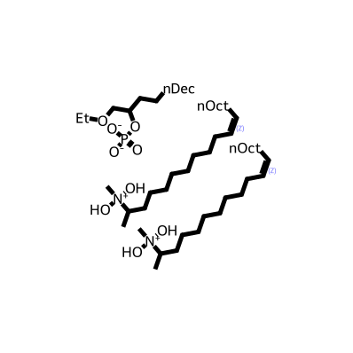 CCCCCCCC/C=C\CCCCCCCCC(C)[N+](C)(O)O.CCCCCCCC/C=C\CCCCCCCCC(C)[N+](C)(O)O.CCCCCCCCCCCCC(COCC)OP(=O)([O-])[O-]